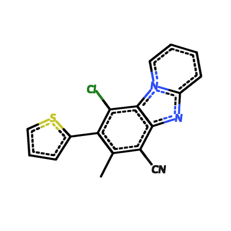 Cc1c(-c2cccs2)c(Cl)c2c(nc3ccccn32)c1C#N